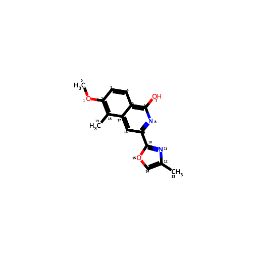 COc1ccc2c(O)nc(-c3nc(C)co3)cc2c1C